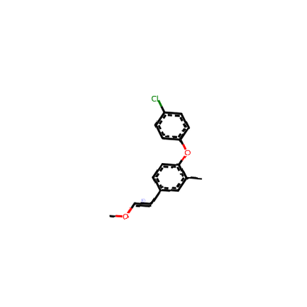 CO/C=C/c1ccc(Oc2ccc(Cl)cc2)c(C)c1